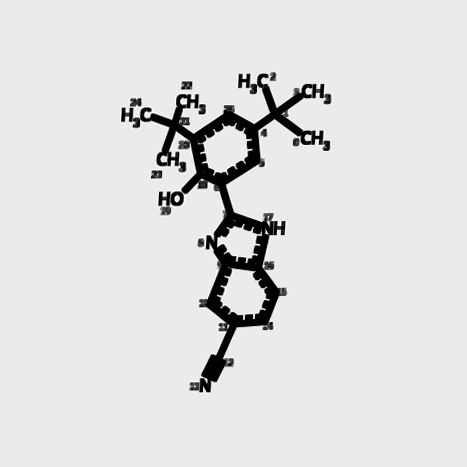 CC(C)(C)c1cc(-c2nc3cc(C#N)ccc3[nH]2)c(O)c(C(C)(C)C)c1